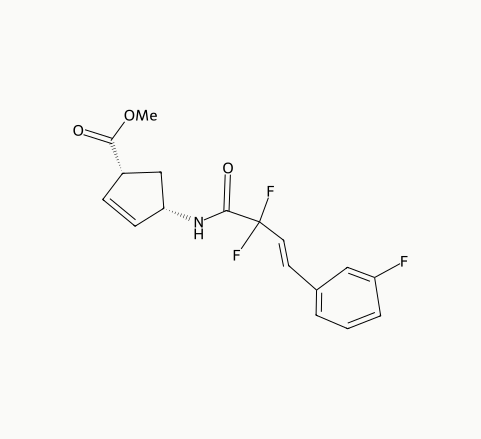 COC(=O)[C@H]1C=C[C@@H](NC(=O)C(F)(F)/C=C/c2cccc(F)c2)C1